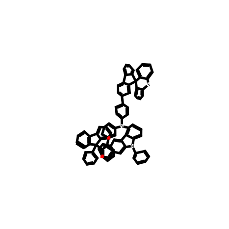 c1ccc2c(c#1)C(c1ccccc1)(c1ccccc1C1=CC(N(c3ccc(-c4ccc5c(c4)C4(c6ccccc6Sc6ccccc64)c4ccccc4-5)cc3)c3cccc4c3c3cc5ccccc5cc3n4-c3ccccc3)=CCC1)c1ccccc1-2